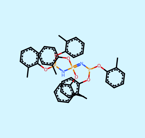 Cc1ccccc1OP(N=P(NP(Oc1ccccc1C)Oc1ccccc1C)(Oc1ccccc1C)Oc1ccccc1C)Oc1ccccc1C